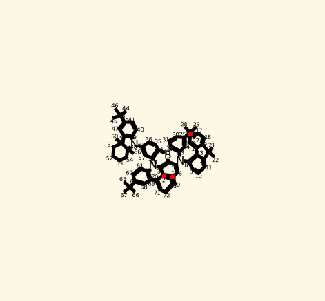 Cc1cc2c3c(c1)N(c1cccc4c1-c1ccccc1C4(C)C)c1cc(C(C)(C)C)ccc1B3c1ccc(N3c4ccc(C(C)(C)C)cc4C4(C)CCCCC34C)cc1N2c1ccc(C(C)(C)C)cc1-c1ccccc1